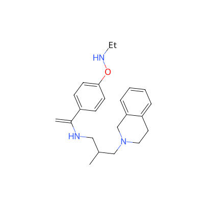 C=C(NCC(C)CN1CCc2ccccc2C1)c1ccc(ONCC)cc1